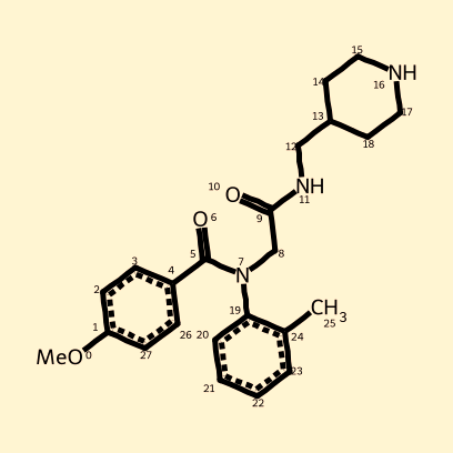 COc1ccc(C(=O)N(CC(=O)NCC2CCNCC2)c2ccccc2C)cc1